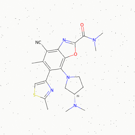 Cc1nc(-c2c(C)c(C#N)c3nc(C(=O)N(C)C)oc3c2N2CC[C@H](N(C)C)C2)cs1